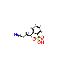 N#CC/C=C/c1ccccc1S(=O)(=O)O